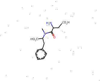 CN(C(=O)C(N)CC(=O)O)C(Cc1ccccc1)C(=O)O